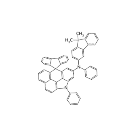 CC1(C)c2ccccc2-c2cc(N(c3ccccc3)c3cc4c5c6c7c(cccc7ccc6n(-c6ccccc6)c5c3)C43c4ccccc4-c4ccccc43)ccc21